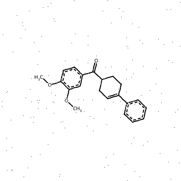 COc1ccc(C(=O)C2CC=C(c3ccccc3)CC2)cc1OC